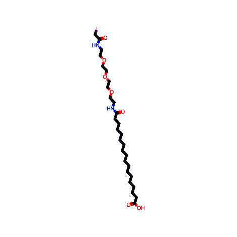 O=C(O)CCCCCCCCCCCCCCCCC(=O)NCCOCCOCCOCCNC(=O)CI